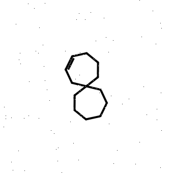 C1=CCC2(CCC1)CCCCCC2